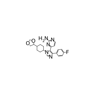 Nc1nccc(-c2c(-c3ccc(F)cc3)ncn2C2CCC(C3COCO3)CC2)n1